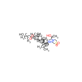 C=C(C)[C@@H]1CC[C@]2(NCC([C@H](C)O)N3CCS(=O)(=O)CC3)CC[C@]3(C)[C@H](CC[C@@H]4[C@@]5(C)CC[C@H](OC(=O)CC(C)(C)C(=O)O)C(C)(C)[C@@H]5CC[C@]43C)[C@@H]12